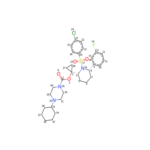 O=C(OC1([C@H]2CCC[C@@H](c3cccc(F)c3)N2S(=O)(=O)c2ccc(Cl)cc2)CC1)N1CCN(C2CCCCC2)CC1